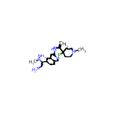 C=C(Nc1cc2cc(/C(=C/N)N(C)N)ccc2cn1)C1(F)CCN(C)CC1